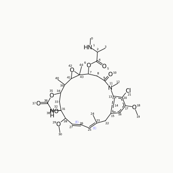 CNC(C)C(=O)OC1CC(=O)N(C)c2cc(cc(OC)c2Cl)C/C(C)=C/C=C/C(OC)C2(O)CC(OC(=O)N2)C(C)C2OC12C